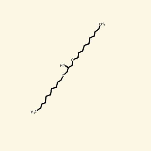 CCCCCCCCCCOCC(O)COCCCCCCCCCC